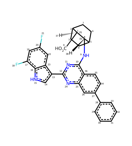 O=C(O)[C@H]1C2CCC(CC2)[C@@H]1Nc1nc(-c2c[nH]c3c(F)cc(F)cc23)nc2cc(-c3ccccc3)ccc12